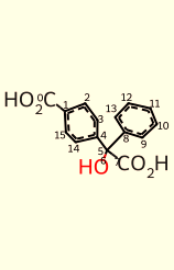 O=C(O)c1ccc(C(O)(C(=O)O)c2ccccc2)cc1